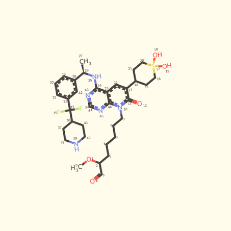 COC(C=O)CCCCCn1c(=O)c(C2CCS(O)(O)CC2)cc2c(N[C@H](C)c3cccc(C(F)(F)C4CCNCC4)c3)ncnc21